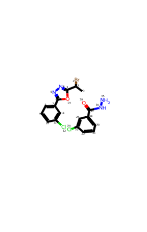 CC(Br)c1nnc(-c2cccc(Cl)c2)o1.NNC(=O)c1cccc(Cl)c1